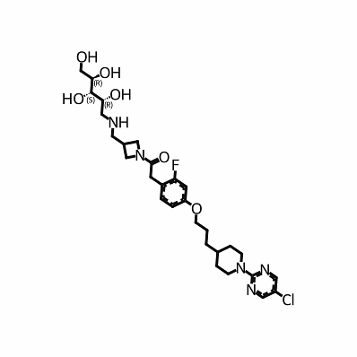 O=C(Cc1ccc(OCCCC2CCN(c3ncc(Cl)cn3)CC2)cc1F)N1CC(CNC[C@@H](O)[C@H](O)[C@H](O)CO)C1